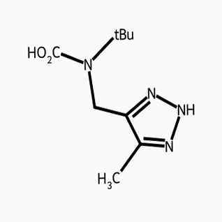 Cc1n[nH]nc1CN(C(=O)O)C(C)(C)C